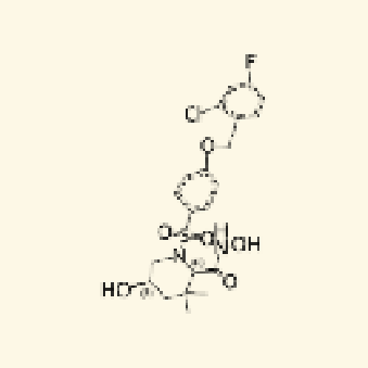 CC1(C)C[C@@H](O)CN(S(=O)(=O)c2ccc(OCc3ccc(F)cc3Cl)cc2)[C@H]1C(=O)NO